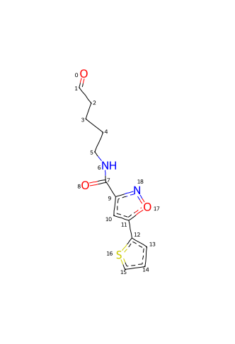 O=CCCCCNC(=O)c1cc(-c2cccs2)on1